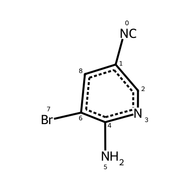 [C-]#[N+]c1cnc(N)c(Br)c1